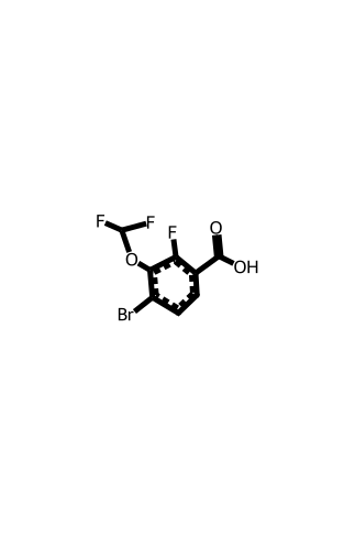 O=C(O)c1ccc(Br)c(OC(F)F)c1F